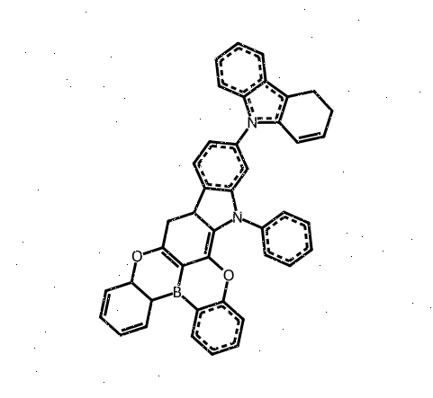 C1=CC2OC3=C4B(c5ccccc5OC4=C4C(C3)c3ccc(-n5c6c(c7ccccc75)CCC=C6)cc3N4c3ccccc3)C2C=C1